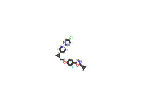 Fc1cc(OCC[C@H]2C[C@@H]2C2CCN(c3ncc(Cl)cn3)CC2)ccc1-c1nnc(C2CC2)o1